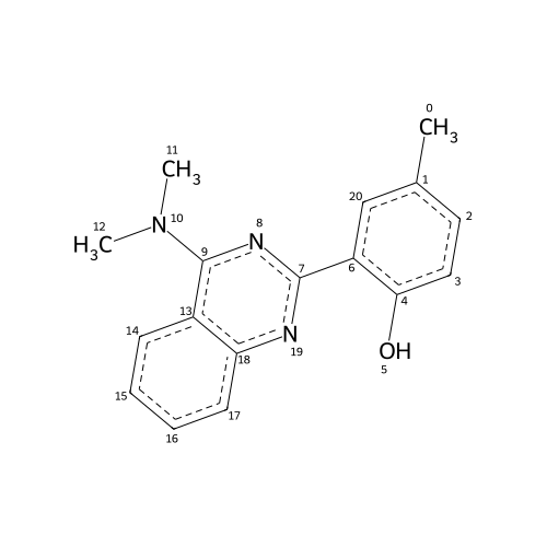 Cc1ccc(O)c(-c2nc(N(C)C)c3ccccc3n2)c1